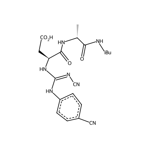 CCC(C)NC(=O)[C@@H](C)NC(=O)[C@H](CC(=O)O)NC(=NC#N)Nc1ccc(C#N)cc1